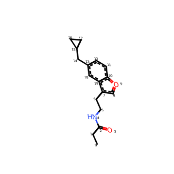 CCC(=O)NCCc1coc2ccc(CC3CC3)cc12